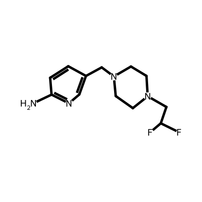 Nc1ccc(CN2CCN(CC(F)F)CC2)cn1